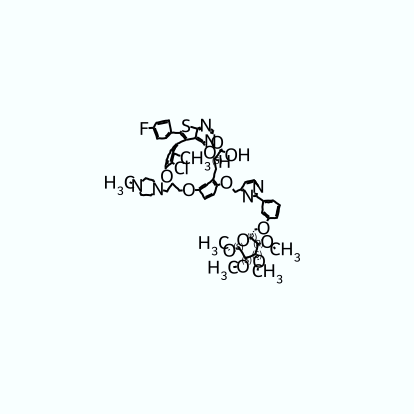 CO[C@H]1O[C@H](COc2cccc(-c3nccc(COc4ccc5cc4C[C@@H](C(=O)O)Oc4ncnc6sc(-c7ccc(F)cc7)c(c46)-c4ccc(c(Cl)c4C)OC(CN4CCN(C)CC4)CO5)n3)c2)[C@@H](OC)[C@H](OC)[C@@H]1OC